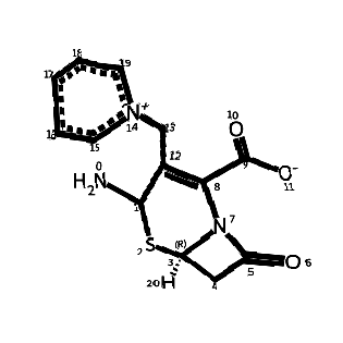 NC1S[C@@H]2CC(=O)N2C(C(=O)[O-])=C1C[n+]1ccccc1